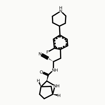 N#C[C@H](Cc1ccc(C2CCNCC2)cc1F)NC(=O)[C@H]1N[C@@H]2CC[C@H]1C2